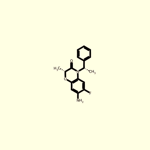 C[C@H]1Oc2cc(N)c(F)cc2N([C@@H](C)c2ccccc2)C1=O